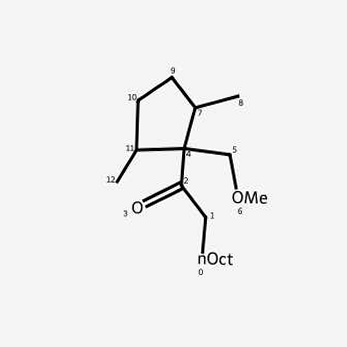 CCCCCCCCCC(=O)C1(COC)C(C)CCC1C